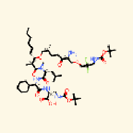 CCCCCC[C@H](OC[C@H](C)CCC(=O)[C@@H](N)COCC(F)(F)CNC(=O)OC(C)(C)C)[C@H](C)C(=O)N(C)[C@H](CC(C)C)C(=O)N[C@H](C(=O)N[C@H](CNC(=O)OC(C)(C)C)C(=O)O)C1CCCCC1